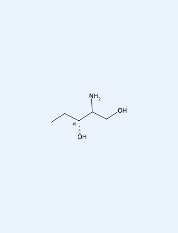 CC[C@@H](O)C(N)CO